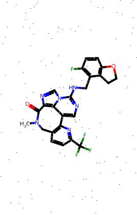 CN1Cc2ccc(C(F)(F)F)nc2-c2cnc(NCc3c(F)ccc4c3CCO4)n3cnc(c23)C1=O